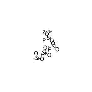 O=[Si]([O-])F.O=[Si]([O-])F.O=[Si]([O-])F.O=[Si]([O-])F.[Zr+4]